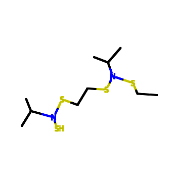 CCSN(SCCSN(S)C(C)C)C(C)C